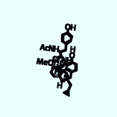 CO[C@]12CC[C@@]3(C[C@@H]1CNC(=O)C(Cc1ccc(O)cc1)NC(C)=O)[C@H]1Cc4ccc(O)c5c4[C@@]3(CCN1CC1CC1)[C@H]2O5